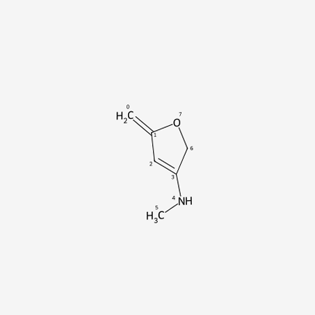 C=C1C=C(NC)CO1